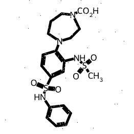 CS(=O)(=O)Nc1cc(S(=O)(=O)Nc2ccccc2)ccc1N1CCCN(C(=O)O)CC1